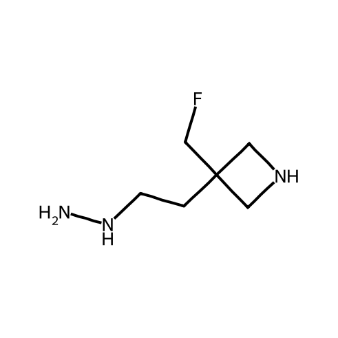 NNCCC1(CF)CNC1